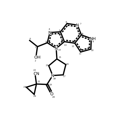 CC(O)c1nc2cnc3[nH]ccc3c2n1C1CCN(C(=O)C2(C#N)CC2)C1